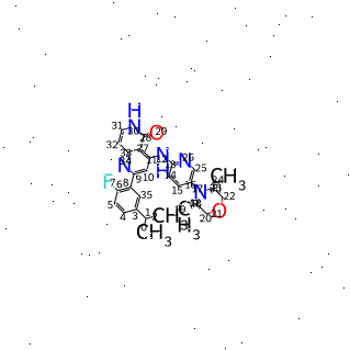 CC(C)c1ccc(F)c(-c2cc(Nc3ccc(N4[C@H](C)COC[C@H]4C)cn3)c3c(=O)[nH]ccc3n2)c1